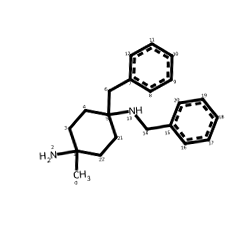 CC1(N)CCC(Cc2ccccc2)(NCc2ccccc2)CC1